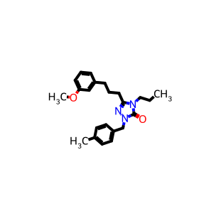 CCCn1c(CCCc2cccc(OC)c2)nn(Cc2ccc(C)cc2)c1=O